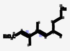 CCOC(=O)/C=C(C)/C(C)=C/C(C)CCC(C)CC